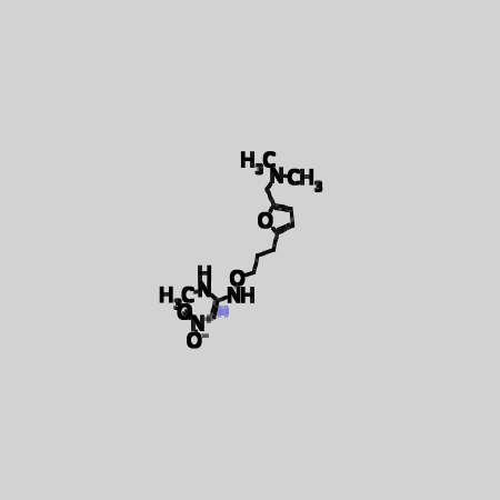 CN/C(=C\[N+](=O)[O-])NOCCCc1ccc(CN(C)C)o1